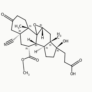 COC(=O)[C@@H]1C[C@@]2(C#N)CC(=O)CC[C@]2(C)C23O[C@@H]2C[C@@]2(C)[C@@H](CC[C@@]2(O)CCC(=O)O)[C@H]13